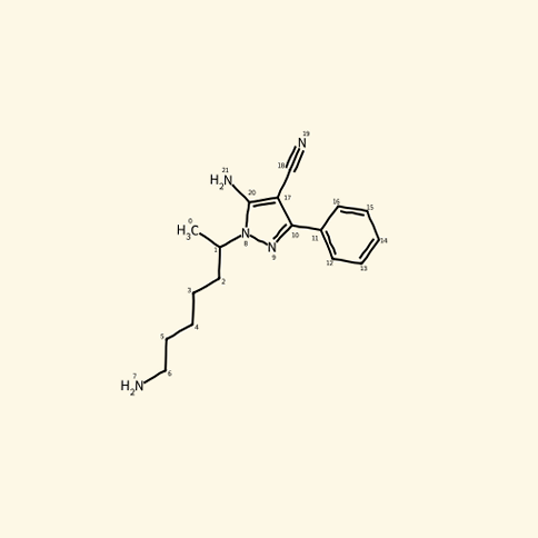 CC(CCCCCN)n1nc(-c2ccccc2)c(C#N)c1N